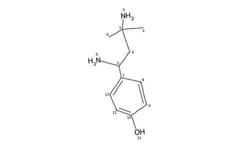 CC(C)(N)CC(N)c1ccc(O)cc1